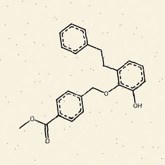 COC(=O)c1ccc(COc2c(O)cccc2CCc2ccccc2)cc1